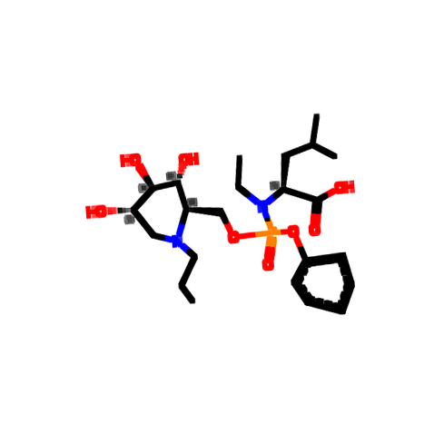 CCCN1C[C@H](O)[C@@H](O)[C@H](O)[C@H]1COP(=O)(Oc1ccccc1)N(CC)[C@@H](CC(C)C)C(=O)O